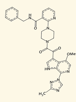 COc1cnc(-n2cnc(C)n2)c2[nH]cc(C(=O)C(=O)N3CCN(c4ncccc4C(=O)NCc4ccccc4)CC3)c12